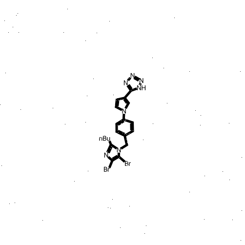 CCCCc1nc(Br)c(Br)n1Cc1ccc(-n2ccc(-c3nnn[nH]3)c2)cc1